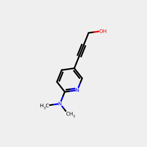 CN(C)c1ccc(C#CCO)cn1